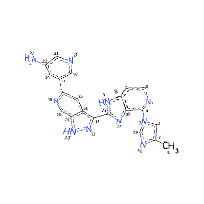 Cc1cn(-c2nccc3[nH]c(-c4n[nH]c5cnc(-c6cncc(N)c6)cc45)nc23)cn1